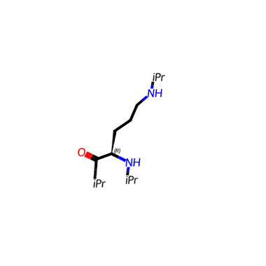 CC(C)NCCC[C@@H](NC(C)C)C(=O)C(C)C